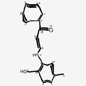 Cc1ccc(O)c(N/C=C/C(=O)c2ccccc2)c1